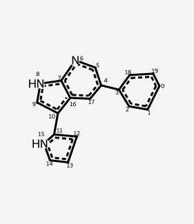 c1ccc(-c2cnc3[nH]cc(-c4ccc[nH]4)c3c2)cc1